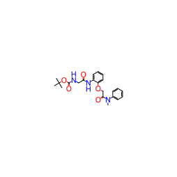 CN(C(=O)COc1ccccc1NC(=O)CNC(=O)OC(C)(C)C)c1ccccc1